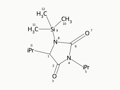 CC(C)C1C(=O)N(C(C)C)C(=O)N1[Si](C)(C)C